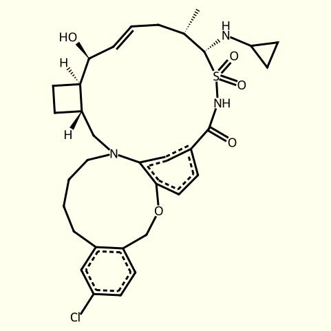 C[C@H]1C/C=C/[C@H](O)[C@@H]2CC[C@H]2CN2CCCCc3cc(Cl)ccc3COc3ccc(cc32)C(=O)NS(=O)(=O)[C@H]1NC1CC1